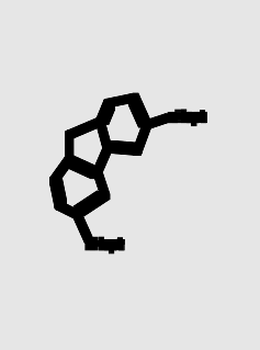 CCCCCCCc1ccc2c(c1)-c1cc(CCCCCCC)ccc1C2